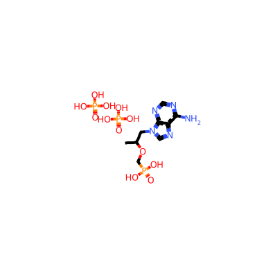 CC(Cn1cnc2c(N)ncnc21)OCP(=O)(O)O.O=P(O)(O)O.O=P(O)(O)O